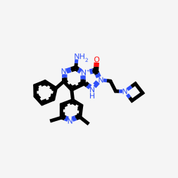 Cc1cc(-c2c(-c3ccccc3)nc(N)[n+]3c(=O)n(CCN4CCC4)[nH]c23)cc(C)n1